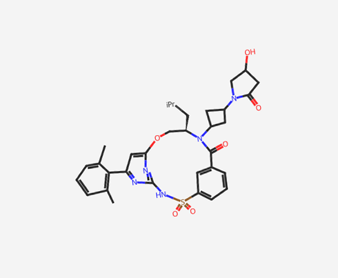 Cc1cccc(C)c1-c1cc2nc(n1)NS(=O)(=O)c1cccc(c1)C(=O)N(C1CC(N3CC(O)CC3=O)C1)[C@H](CC(C)C)CO2